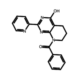 O=C(c1ccccc1)N1CCCc2c(O)nc(-c3ccccn3)nc21